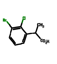 CC(C(=O)O)c1cccc(Br)c1Cl